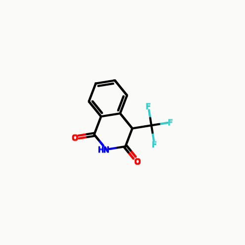 O=C1NC(=O)C(C(F)(F)F)c2ccccc21